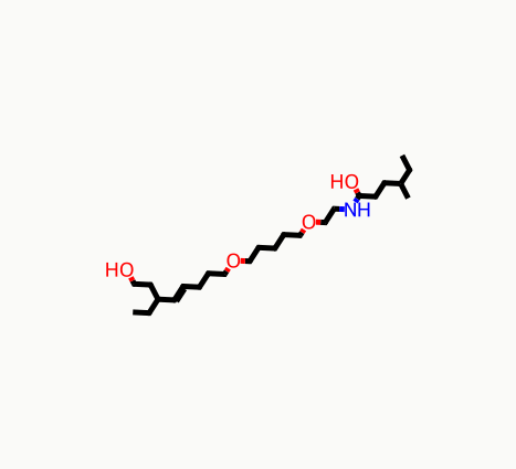 CCC(C)CCC(O)NCCOCCCCCOCCCC=CC(CC)CCO